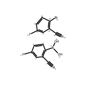 N#Cc1cc(F)ccc1B(O)O.N#Cc1cc(F)ccc1Br